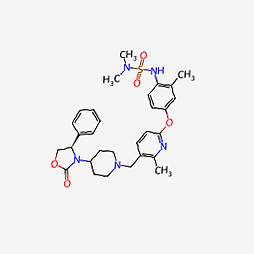 Cc1cc(Oc2ccc(CN3CCC(N4C(=O)OC[C@H]4c4ccccc4)CC3)c(C)n2)ccc1NS(=O)(=O)N(C)C